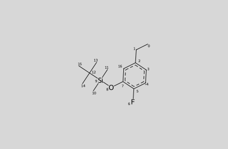 CCc1c[c]c(F)c(O[Si](C)(C)C(C)(C)C)c1